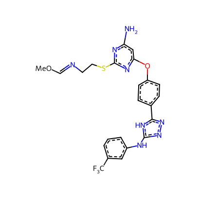 COC=NCCSc1nc(N)cc(Oc2ccc(-c3nnc(Nc4cccc(C(F)(F)F)c4)[nH]3)cc2)n1